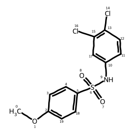 COc1ccc(S(=O)(=O)Nc2ccc(Cl)c(Cl)c2)cc1